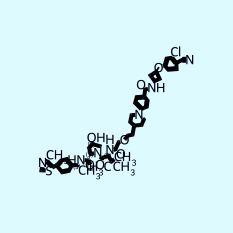 Cc1ncsc1-c1ccc([C@H](C)NC(=O)[C@@H]2C[C@@H](O)CN2C(=O)[C@@H](NC(=O)COCCC2CCN(c3ccc(C(=O)N[C@H]4C[C@H](Oc5ccc(C#N)c(Cl)c5)C4)cc3)CC2)C(C)(C)C)cc1